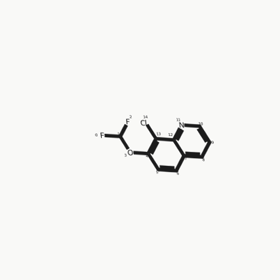 FC(F)Oc1ccc2cccnc2c1Cl